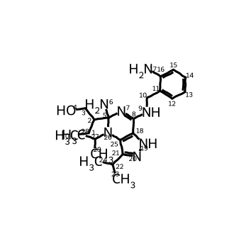 CCC(CO)C1(N)N=C(NCc2ccccc2N)c2[nH]nc(C(C)C)c2N1C(C)C